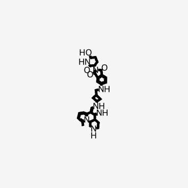 Cc1cccc(/C(=C/NC2CC(CNc3ccc4c(c3)C(=O)N(C3CCC(O)NC3=O)C4=O)C2)C(=N)C2CCNCC2)n1